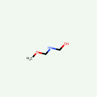 COCNCO